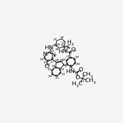 CC(C)(C)OC(=O)Nc1ccc(C(=O)N[C@@]2(C)CCC[C@@H](Nc3ncc(Cl)c(C4=CCc5ccccc54)n3)C2)cc1